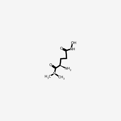 CN(C)C(=O)[C@H](N)CCC(=O)NO